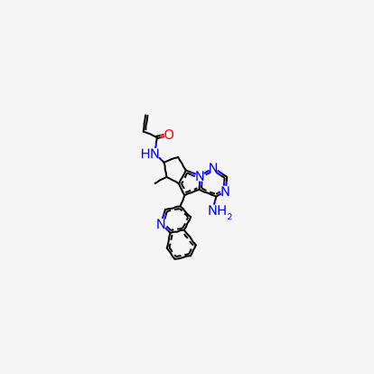 C=CC(=O)NC1Cc2c(c(-c3cnc4ccccc4c3)c3c(N)ncnn23)C1C